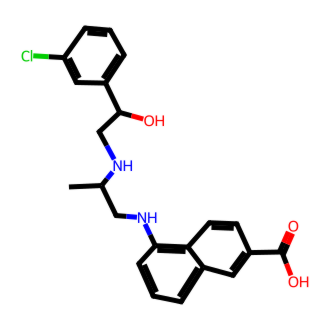 CC(CNc1cccc2cc(C(=O)O)ccc12)NCC(O)c1cccc(Cl)c1